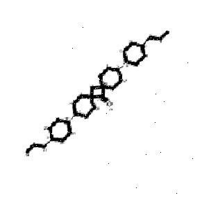 CCC[C@H]1CC[C@H](C2CCC3(CC2)CC2(CCC([C@H]4CC[C@H](CCC)CC4)CC2)C3=O)CC1